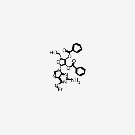 CCOc1nc(N)nc2c1ncn2[C@@H]1O[C@H](CO)[C@@H](OC(=O)c2ccccc2)[C@H]1OC(=O)c1ccccc1